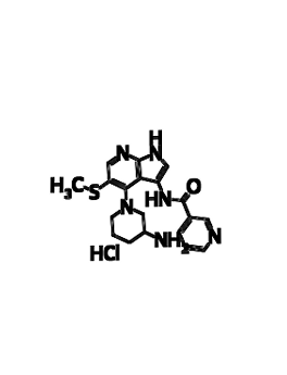 CSc1cnc2[nH]cc(NC(=O)c3cccnc3)c2c1N1CCCC(N)C1.Cl